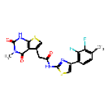 Cn1c(=O)[nH]c2scc(CC(=O)Nc3nc(-c4ccc(C(F)(F)F)c(F)c4F)cs3)c2c1=O